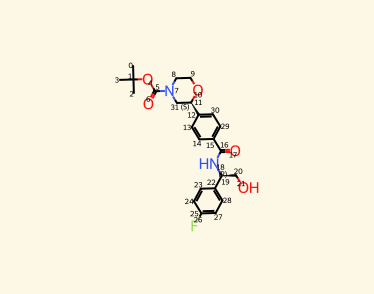 CC(C)(C)OC(=O)N1CCO[C@@H](c2ccc(C(=O)N[C@@H](CO)c3ccc(F)cc3)cc2)C1